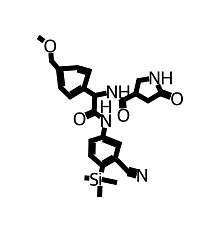 COCc1ccc(C(NC(=O)C2CNC(=O)C2)C(=O)Nc2ccc([Si](C)(C)C)c(C#N)c2)cc1